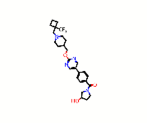 O=C(c1ccc(-c2cnc(OCC3CCN(CC4(C(F)(F)F)CCC4)CC3)nc2)cc1)N1CCC(O)C1